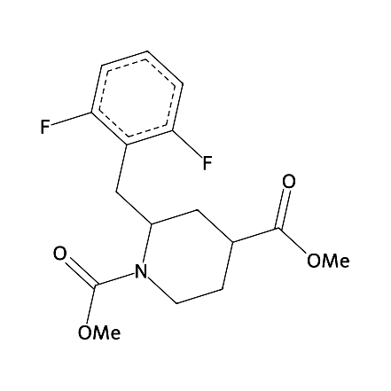 COC(=O)C1CCN(C(=O)OC)C(Cc2c(F)cccc2F)C1